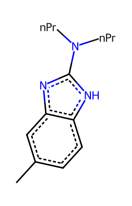 CCCN(CCC)c1nc2cc(C)ccc2[nH]1